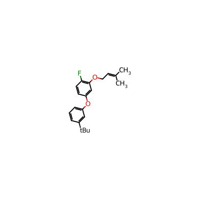 CC(C)=CCOc1cc(Oc2cccc(C(C)(C)C)c2)ccc1F